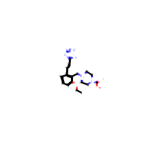 CCOc1cccc(/C=C/c2nnn[nH]2)c1CN1CCN(C(=O)O)CC1